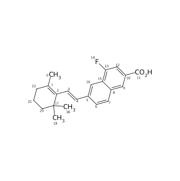 CC1=C(C=Cc2ccc3cc(C(=O)O)cc(F)c3c2)C(C)(C)CCC1